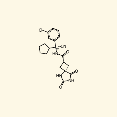 N#C[C@@](NC(=O)[C@H]1C[C@@]2(C1)NC(=O)NC2=O)(c1cccc(Cl)c1)C1CCCC1